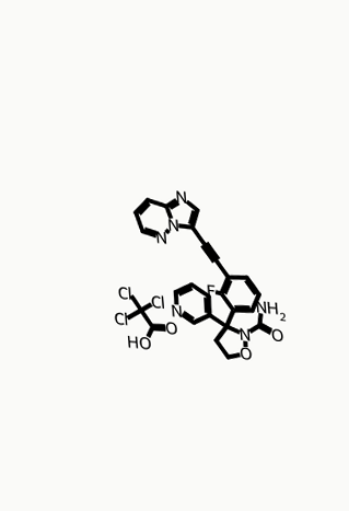 NC(=O)N1OCCC1(c1cccnc1)c1cccc(C#Cc2cnc3cccnn23)c1F.O=C(O)C(Cl)(Cl)Cl